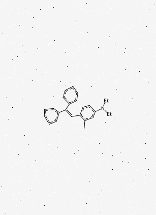 CCN(CC)c1ccc(C=C(c2ccccc2)c2ccccc2)c(C)c1